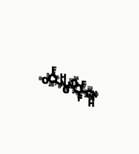 COc1cc(F)cc(CNC(=O)N2CCc3c2cc(F)c(-c2cn[nH]c2)c3F)c1